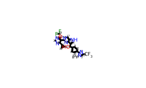 CC(C)n1cc(C(F)(F)F)nc1-c1ccc(C(O)c2c[nH]c3cnc(-c4c(OC(F)F)ncnc4C4CC4)nc23)cc1